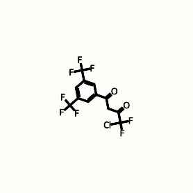 O=C(CC(=O)C(F)(F)Cl)c1cc(C(F)(F)F)cc(C(F)(F)F)c1